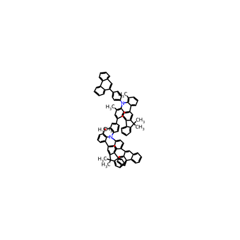 Cc1cc(-c2ccc(N(c3ccc(-c4cc5ccccc5c5ccccc45)cc3)c3c(C)cccc3-c3ccc4c(c3)C(C)(C)c3ccccc3-4)c(C)c2)ccc1N(c1ccc(-c2cc3ccccc3c3ccccc23)cc1)c1c(C)cccc1-c1ccc2c(c1)C(C)(C)c1ccccc1-2